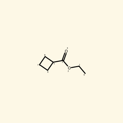 CCOC(=O)C1C[CH]C1